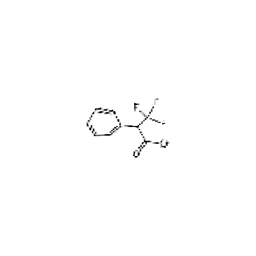 [O]C(=O)C(c1ccccc1)C(F)(F)F